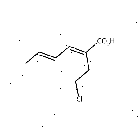 CC=CC=C(CCCl)C(=O)O